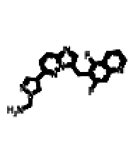 NCN1CC(c2ccc3ncc(Cc4c(F)cc5ncccc5c4F)n3n2)C=N1